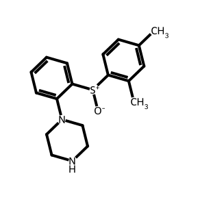 Cc1ccc([S+]([O-])c2ccccc2N2CCNCC2)c(C)c1